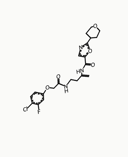 C=C(CCNC(=O)COc1ccc(Cl)c(F)c1)NC(=O)c1cnc(C2CCOCC2)o1